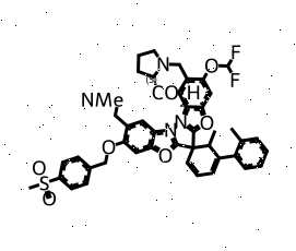 CNCc1cc2nc(C3(c4nc5cc(CN6CCC[C@H]6C(=O)O)c(OC(F)F)cc5o4)C=CC=C(c4ccccc4C)C3C)oc2cc1OCc1ccc(S(C)(=O)=O)cc1